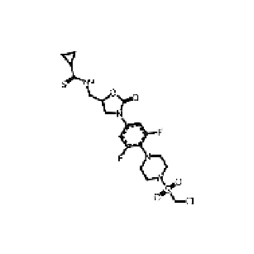 O=C1OC(CNC(=S)C2CC2)CN1c1cc(F)c(N2CCN(S(=O)(=O)CCl)CC2)c(F)c1